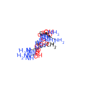 COc1ccc(C[C@H](NC(=O)[C@@H]2CCCN2C(=O)/C(CCCN)=N/C(=O)CNC(=O)[C@H](C)NC(=O)[C@@H](NC(=O)[C@@H](N)CCCCN)[C@@H](O)CN)C(=O)N[C@@H](CCCCN)C(=O)N/C(=C\CCNC(=N)N)C(=O)O)cc1